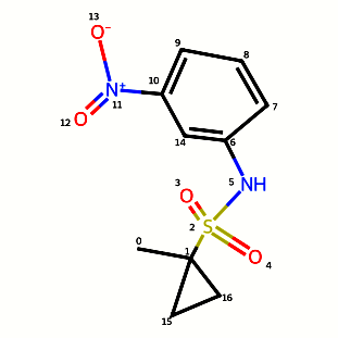 CC1(S(=O)(=O)Nc2cccc([N+](=O)[O-])c2)CC1